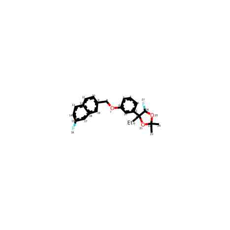 CCC1(c2cccc(OCc3ccc4ccc(F)cc4c3)c2)OC(C)(C)OC1F